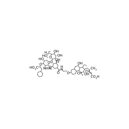 CCC1CC(C(=O)NCCO[C@@H]2CC[C@@]3(C)C(C2)C[C@@H](O)C2C3C[C@H](O)[C@@]3(C)C2CC[C@@H]3[C@H](C)CCC(=O)O)C[C@@H](O[C@@H]2O[C@@H](CO)[C@H](O)C(O[C@@H](CC3CCCCC3)C(=O)O)C2NC(C)=O)[C@@H]1OC1O[C@@H](C)C(O)[C@H](O)[C@@H]1O